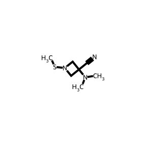 CSN1CC(C#N)(N(C)C)C1